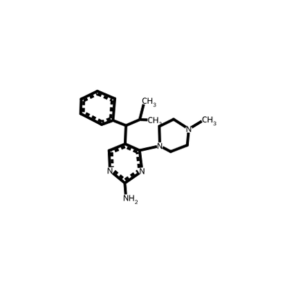 CC(C)C(c1ccccc1)c1cnc(N)nc1N1CCN(C)CC1